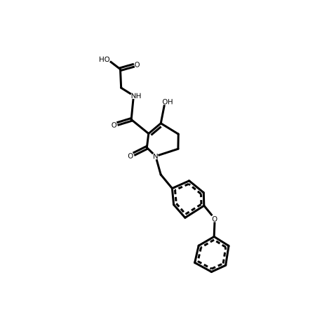 O=C(O)CNC(=O)C1=C(O)CCN(Cc2ccc(Oc3ccccc3)cc2)C1=O